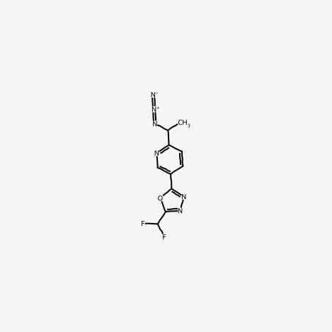 CC(N=[N+]=[N-])c1ccc(-c2nnc(C(F)F)o2)cn1